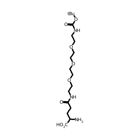 CC(C)(C)OC(=O)NCCOCCOCCOCCNC(=O)CCC(N)C(=O)O